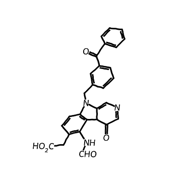 O=CNc1c(CC(=O)O)ccc2c1C1C(=O)C=NC=C1N2Cc1cccc(C(=O)c2ccccc2)c1